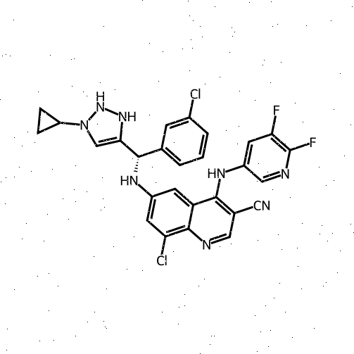 N#Cc1cnc2c(Cl)cc(N[C@H](C3=CN(C4CC4)NN3)c3cccc(Cl)c3)cc2c1Nc1cnc(F)c(F)c1